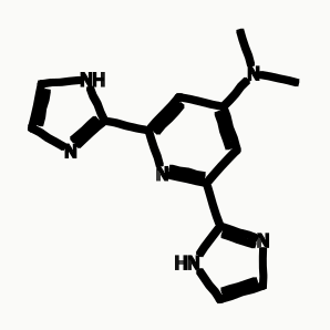 CN(C)c1cc(-c2ncc[nH]2)nc(-c2ncc[nH]2)c1